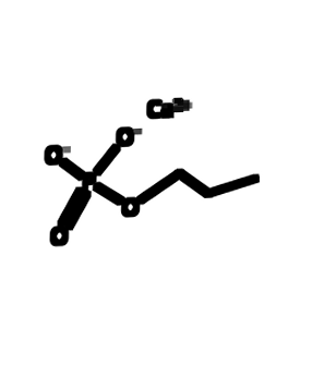 CCCOP(=O)([O-])[O-].[Ca+2]